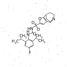 CC(C)c1cc(F)cc(C(C)C)c1NC(=O)NS(=O)(=O)c1cc2c(o1)C1CCN(CC1)C2